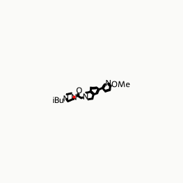 CCC(C)N1CCN(C(=O)CN2CCc3cc(-c4ccc(OC)nc4)ccc3C2)CC1